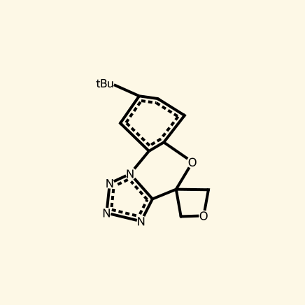 CC(C)(C)c1ccc2c(c1)-n1nnnc1C1(COC1)O2